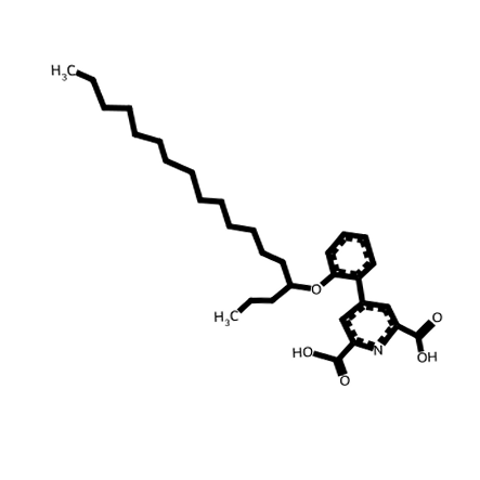 CCCCCCCCCCCCCCC(CCC)Oc1ccccc1-c1cc(C(=O)O)nc(C(=O)O)c1